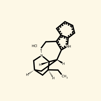 CC[C@H]1C[C@@H]2C[C@H]3c4[nH]c5ccccc5c4CC[N@@](C2)[C@@H]13.Cl